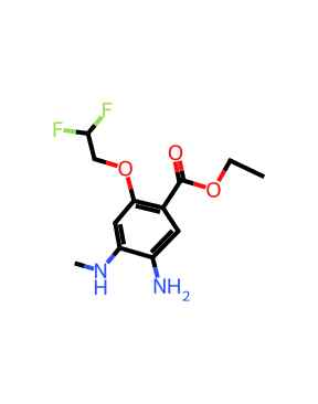 CCOC(=O)c1cc(N)c(NC)cc1OCC(F)F